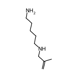 C=C(C)CNCCCCCN